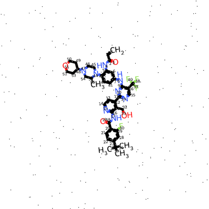 C=CC(=O)Nc1cc(Nc2nc(-c3ccnc(NC(=O)c4ccc(C(C)(C)C)cc4F)c3CO)ncc2C(F)(F)F)ccc1N1CCN(C2CCOCC2)C[C@@H]1C